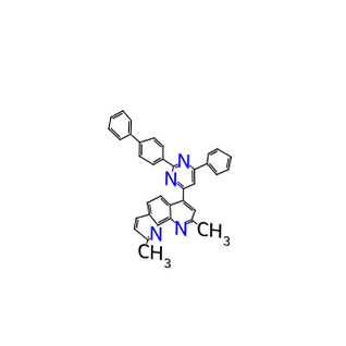 Cc1ccc2ccc3c(-c4cc(-c5ccccc5)nc(-c5ccc(-c6ccccc6)cc5)n4)cc(C)nc3c2n1